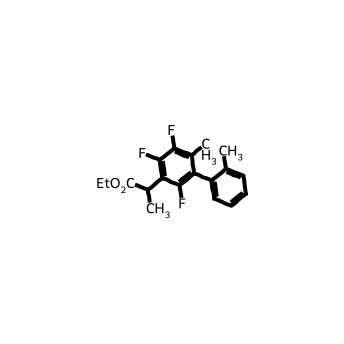 CCOC(=O)C(C)c1c(F)c(F)c(C)c(-c2ccccc2C)c1F